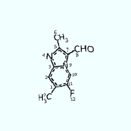 Cc1cc2nc(C)c(C=O)n2cc1F